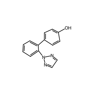 Oc1ccc(-c2ccccc2-n2nccn2)cc1